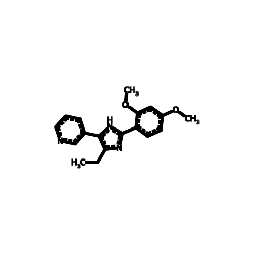 CCc1nc(-c2ccc(OC)cc2OC)[nH]c1-c1cccnc1